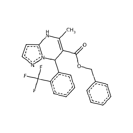 CC1=C(C(=O)OCc2ccccc2)C(c2ccccc2C(F)(F)F)n2nccc2N1